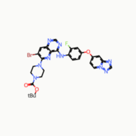 CC(C)(C)OC(=O)N1CCN(c2nc3c(Nc4ccc(Oc5ccn6ncnc6c5)cc4F)ncnc3cc2Br)CC1